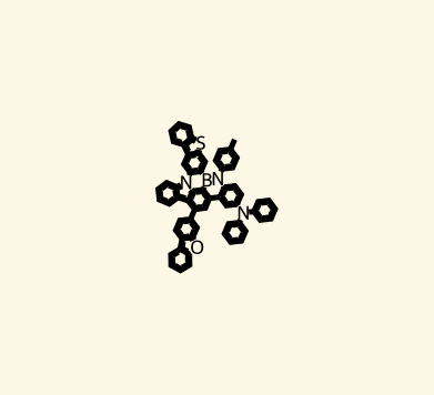 Cc1ccc(N2B3c4cc5sc6ccccc6c5cc4-n4c5ccccc5c5c(-c6ccc7c(c6)oc6ccccc67)cc(c3c54)-c3cc(N(c4ccccc4)c4ccccc4)ccc32)cc1